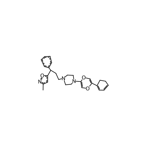 Cc1cc(C(CCN2CCN(C3=COC(C4=CC=CCC4)=CO3)CC2)c2ccccc2)on1